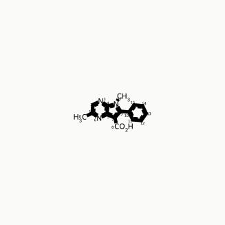 Cc1cnc2c(n1)c(C(=O)O)c(-c1ccccc1)n2C